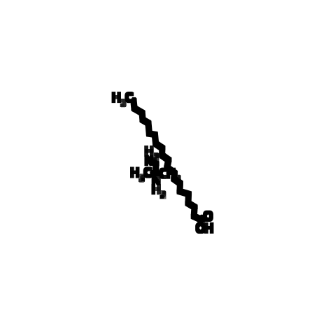 CC(C)(N)CN.CCCCCCCCCCCCCCCCCCCCCC(=O)O